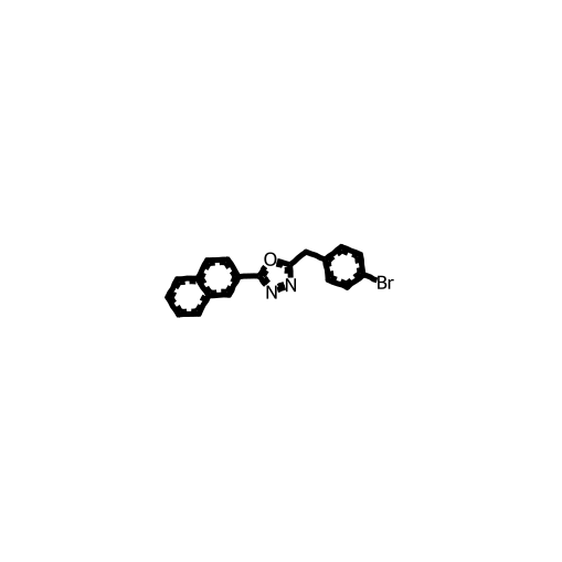 Brc1ccc(Cc2nnc(-c3ccc4ccccc4c3)o2)cc1